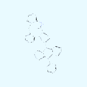 C/C1=N\c2ccccc2Cc2ccccc2-c2cc(-c3c4ccccc4c(-c4ccccc4)c4ccccc34)ccc21